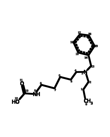 CCCN(CCCCCNC(=O)O)Cc1ccccc1